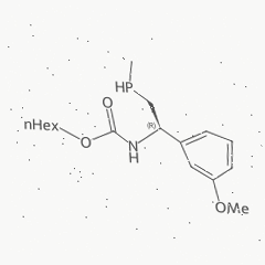 CCCCCCOC(=O)N[C@@H](CPC)c1cccc(OC)c1